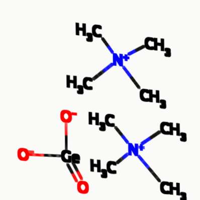 C[N+](C)(C)C.C[N+](C)(C)C.[O]=[Ge]([O-])[O-]